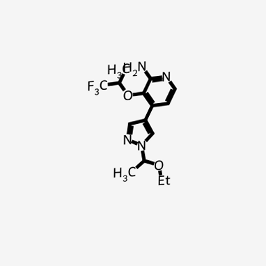 CCOC(C)n1cc(-c2ccnc(N)c2OC(C)C(F)(F)F)cn1